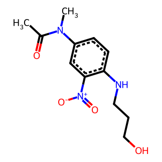 CC(=O)N(C)c1ccc(NCCCO)c([N+](=O)[O-])c1